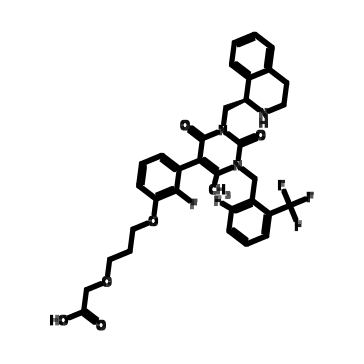 Cc1c(-c2cccc(OCCCOCC(=O)O)c2F)c(=O)n(C[C@@H]2NCCc3ccccc32)c(=O)n1Cc1c(F)cccc1C(F)(F)F